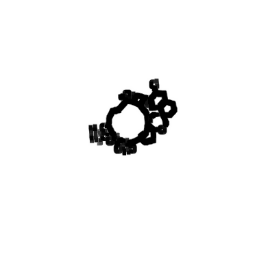 C[C@@H]1[C@@H](C)C/C=C/[C@]2(CO2)[C@@H]2CC[C@H]2CN2C[C@@]3(CCCc4cc(Cl)ccc43)COc3ccc(cc32)C(=O)NS1(=O)=O